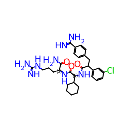 N=C(N)NCCC[C@H](NC(=O)[C@@H](NC(=O)C(Cc1ccc(C(=N)N)cc1)c1cccc(Cl)c1)C1CCCCC1)C(N)=O